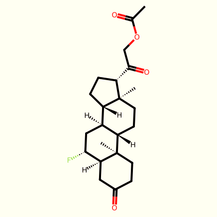 CC(=O)OCC(=O)[C@H]1CC[C@H]2[C@@H]3C[C@@H](F)[C@@H]4CC(=O)CC[C@]4(C)[C@H]3CC[C@]12C